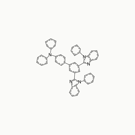 c1ccc(N(c2ccccc2)c2ccc(-c3cc(-c4nc5ccccc5n4-c4ccccc4)cc(-c4nc5ccccc5n4-c4ccccc4)c3)cc2)cc1